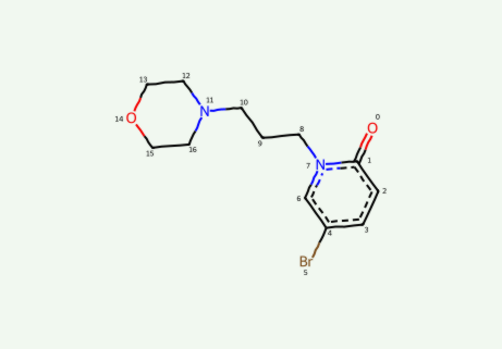 O=c1ccc(Br)cn1CCCN1CCOCC1